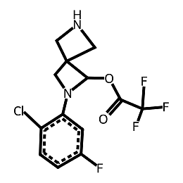 O=C(OC1N(c2cc(F)ccc2Cl)CC12CNC2)C(F)(F)F